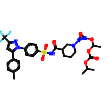 Cc1ccc(-c2cc(C(F)(F)F)nn2-c2ccc(S(=O)(=O)NC(=O)C3CCCN(n4on4OC(C)OC(=O)OC(C)C)C3)cc2)cc1